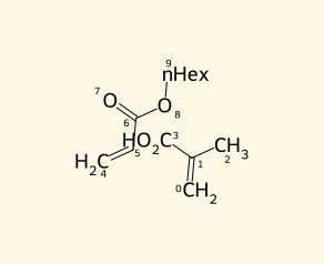 C=C(C)C(=O)O.C=CC(=O)OCCCCCC